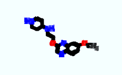 COc1ccc2ncc(OCCNC3CCNCC3)nc2c1